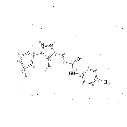 CCn1c(SCC(=O)Nc2ccc(Cl)cc2)nnc1-c1cccc(C)c1